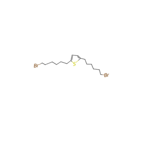 BrCCCCCCc1ccc(CCCCCCBr)s1